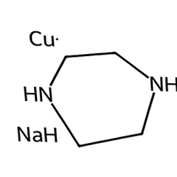 C1CNCCN1.[Cu].[NaH]